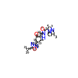 Cn1nccc1C(=O)N[C@@H]1COc2cc(-c3noc(C4CC4)n3)ccc21